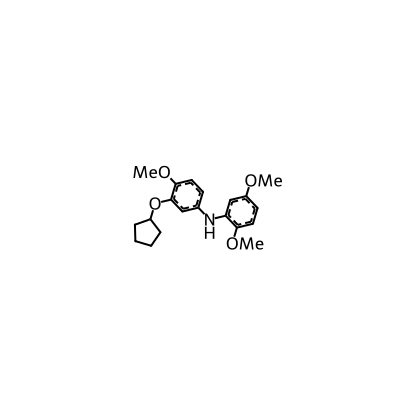 COc1ccc(OC)c(Nc2ccc(OC)c(OC3CCCC3)c2)c1